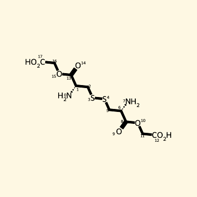 N[C@@H](CSSC[C@H](N)C(=O)OCC(=O)O)C(=O)OCC(=O)O